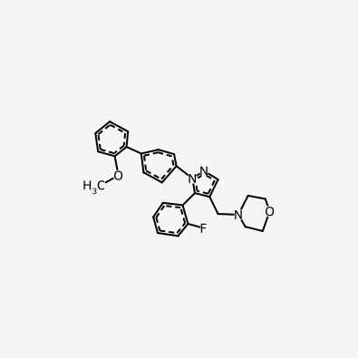 COc1ccccc1-c1ccc(-n2ncc(CN3CCOCC3)c2-c2ccccc2F)cc1